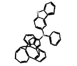 C1=CC2=C3C(=CC1)c1ccc(N(c4ccccc4)c4ccc5oc6ccccc6c5c4)cc1-c1c2cccc1-c1ccccc13